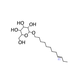 CC/C=C/CCCCCCCCOC1OC(CO)C(O)C(O)C1O